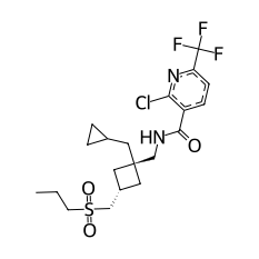 CCCS(=O)(=O)C[C@H]1C[C@@](CNC(=O)c2ccc(C(F)(F)F)nc2Cl)(CC2CC2)C1